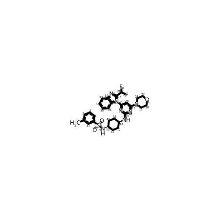 Cc1cccc(S(=O)(=O)N[C@H]2CC[C@H](Nc3nc(N4CCOCC4)cc(-n4c(C(F)F)nc5ccccc54)n3)CC2)c1